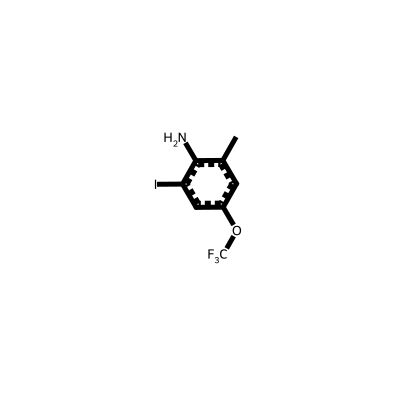 Cc1cc(OC(F)(F)F)cc(I)c1N